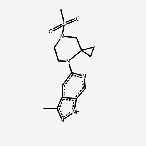 Cc1n[nH]c2cnc(N3CCN(S(C)(=O)=O)CC34CC4)cc12